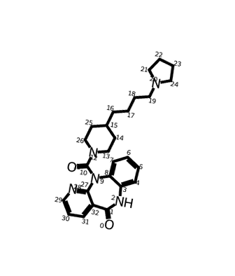 O=C1Nc2ccccc2N(C(=O)N2CCC(CCCCN3CCCC3)CC2)c2ncccc21